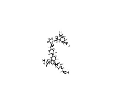 CC1(C)CC(N2CCN(CCO)CC2)c2ccc(-c3ccc(CO[C@H]4CCC[C@@H]4NC(=O)c4cc(C(F)(F)F)cnc4N)cc3)cc21